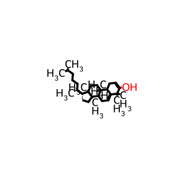 CC(C)CCC[C@@H](C)[C@H]1CC[C@@]2(C)[C@@H]3CC=C4C(C)(C)C(O)=CC[C@]4(C)[C@H]3CC[C@]12C